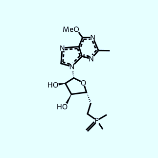 C=P(C)(C)CC[C@H]1O[C@@H](n2cnc3c(OC)nc(C)nc32)[C@H](O)[C@@H]1O